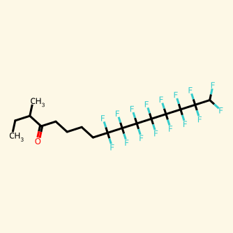 CCC(C)C(=O)CCCCC(F)(F)C(F)(F)C(F)(F)C(F)(F)C(F)(F)C(F)(F)C(F)(F)C(F)F